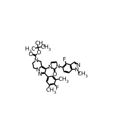 Cc1cc(-c2nn3c(c2-n2ccn(-c4ccc5c(cnn5C)c4F)c2=O)CN(C(=O)OC(C)(C)C)CC3)cc(C)c1F